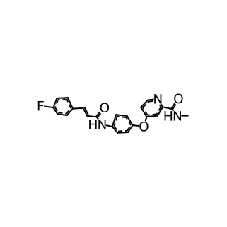 CNC(=O)c1cc(Oc2ccc(NC(=O)C=Cc3ccc(F)cc3)cc2)ccn1